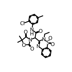 CCN1C(C(C(=O)Nc2cc(C)ccc2Cl)N2C(=O)OC(C)(C)C2=O)=Nc2ccccc2S1(=O)=O